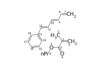 C=C(C)C(=O)OCCC.C=CC=CC=Cc1ccccc1